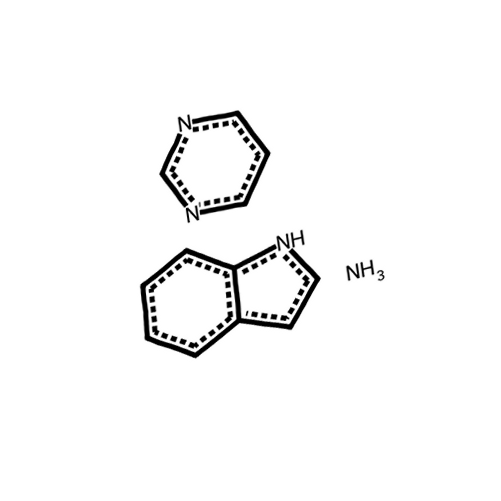 N.c1ccc2[nH]ccc2c1.c1cncnc1